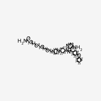 NC(=O)COCCOCCOCCOCCN1CCN(C2CCC(n3nc(-c4ccc(Oc5ccccc5)cc4)c4c(N)ncnc43)CC2)CC1